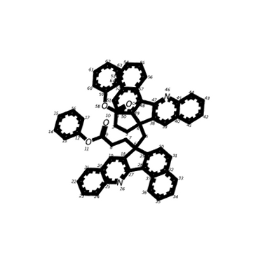 O=C(CCC1(CC2(CCC(=O)Oc3ccccc3)c3cc4ccccc4nc3-c3c2ccc2ccccc32)c2cc3ccccc3nc2-c2c1ccc1ccccc21)Oc1ccccc1